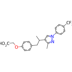 Cc1nn(-c2ccc(C(F)(F)F)cc2)cc1C(C)Cc1ccc(OCC(=O)O)cc1